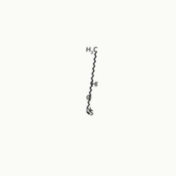 CCCCCCCCCCCCCCCCCCCCOCCCCN1C=CSC1.I